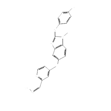 Cn1c(Nc2ccc(Br)cc2)nc2cc(Oc3ccnc(/C=N\O)c3)ccc21